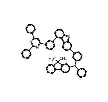 CC1(C)c2ccccc2-c2ccc(N(c3ccccc3)c3cccc(-c4ccc5c(c4)sc4cccc(-c6cccc(-c7cc(-c8ccccc8)nc(-c8ccccc8)n7)c6)c45)c3)cc21